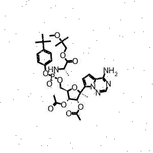 COC(C)(C)COC(=O)[C@H](C)NP(=O)(OC[C@H]1O[C@@](C)(c2ccc3c(N)ncnn23)[C@H](OC(C)=O)[C@@H]1OC(C)=O)Oc1ccc(C(C)(C)C)cc1